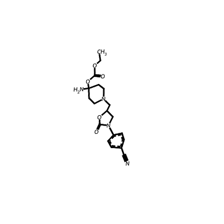 CCOC(=O)OC1(N)CCN(CC2CN(c3ccc(C#N)cc3)C(=O)O2)CC1